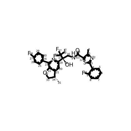 Cc1nc(-c2ccccc2F)sc1C(=O)NC[C@](O)(c1cc2c(c(-c3ccc(F)cc3)n1)OC[C@H]2C)C(F)(F)F